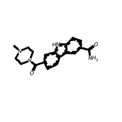 CN1CCN(C(=O)c2ccc3c(c2)[nH]c2ccc(C(N)=O)cc23)CC1